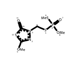 COc1nn(CSP(=O)(OC)SC)c(=O)s1